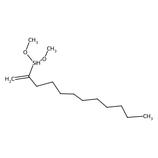 C=C(CCCCCCCCCC)[SiH](OC)OC